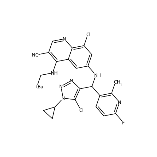 Cc1nc(F)ccc1C(Nc1cc(Cl)c2ncc(C#N)c(NCC(C)(C)C)c2c1)c1nnn(C2CC2)c1Cl